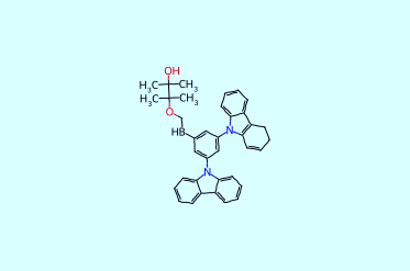 CC(C)(O)C(C)(C)OCBc1cc(-n2c3c(c4ccccc42)CCC=C3)cc(-n2c3ccccc3c3ccccc32)c1